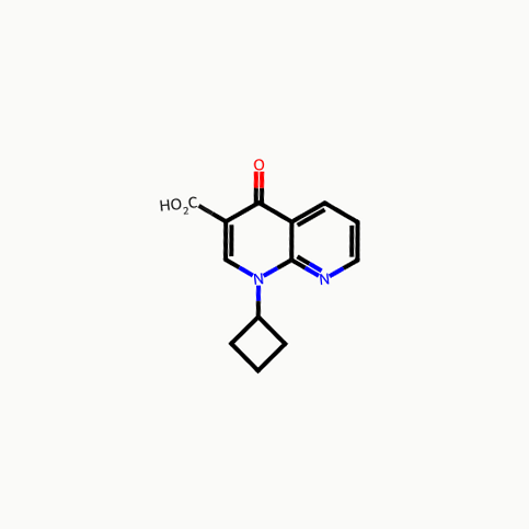 O=C(O)c1cn(C2CCC2)c2ncccc2c1=O